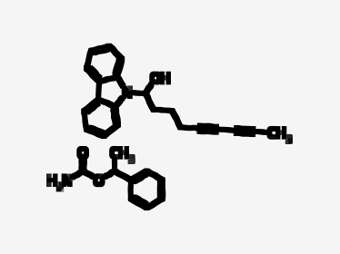 CC#CC#CCCCC(O)n1c2ccccc2c2ccccc21.CC(OC(N)=O)c1ccccc1